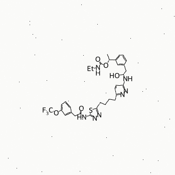 CCNC(=O)OC(C)c1cccc(CC(O)Nc2ccc(CCCCc3nnc(NC(=O)Cc4cccc(OC(F)(F)F)c4)s3)nn2)c1